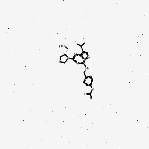 CC(=O)Nc1ccc(CNc2nc(N3CCC[C@@H]3CO)nc3c(C(C)C)cnn23)cc1